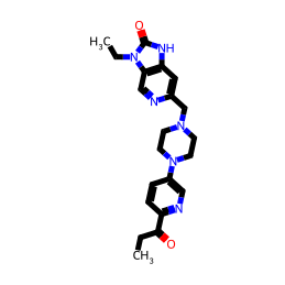 CCC(=O)c1ccc(N2CCN(Cc3cc4[nH]c(=O)n(CC)c4cn3)CC2)cn1